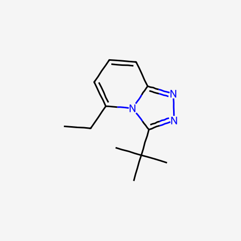 CCc1cccc2nnc(C(C)(C)C)n12